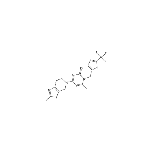 Cc1nc2c(s1)CN(c1nc(C)n(Cc3ccc(C(F)(F)F)s3)c(=O)n1)CC2